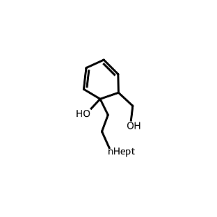 CCCCCCCCCC1(O)C=CC=CC1CO